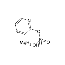 O=[PH](O)Oc1cnccn1.[MgH2]